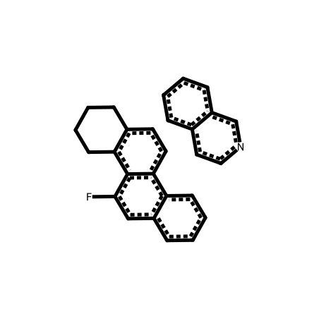 Fc1cc2ccccc2c2ccc3c(c12)CCCC3.c1ccc2cnccc2c1